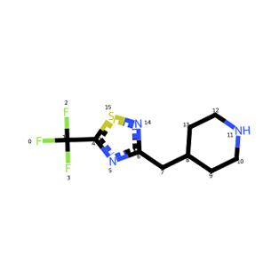 FC(F)(F)c1nc(CC2CCNCC2)ns1